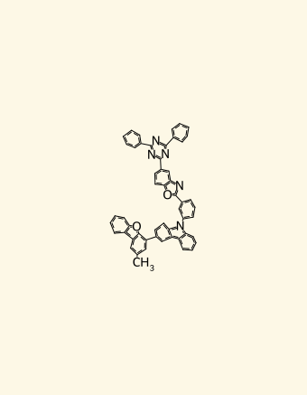 Cc1cc(-c2ccc3c(c2)c2ccccc2n3-c2cccc(-c3nc4cc(-c5nc(-c6ccccc6)nc(-c6ccccc6)n5)ccc4o3)c2)c2oc3ccccc3c2c1